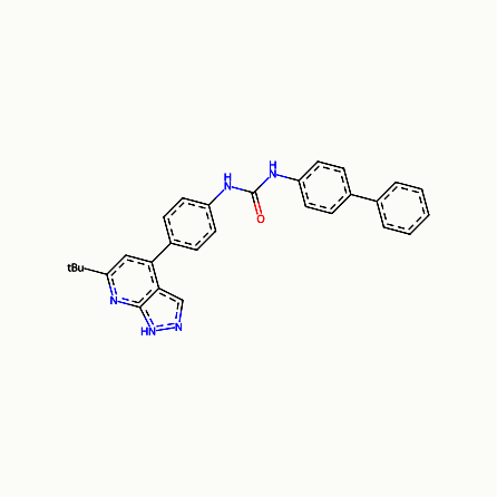 CC(C)(C)c1cc(-c2ccc(NC(=O)Nc3ccc(-c4ccccc4)cc3)cc2)c2cn[nH]c2n1